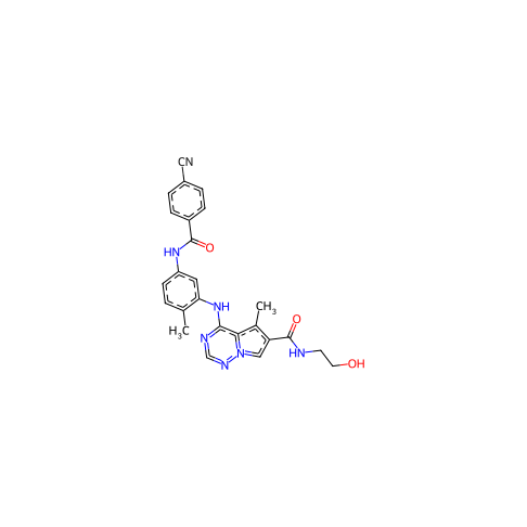 Cc1ccc(NC(=O)c2ccc(C#N)cc2)cc1Nc1ncnn2cc(C(=O)NCCO)c(C)c12